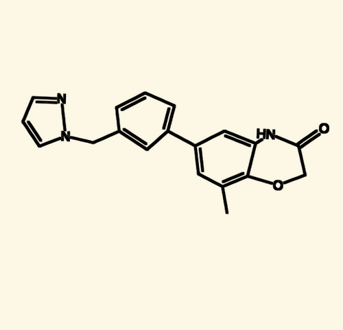 Cc1cc(-c2cccc(Cn3cccn3)c2)cc2c1OCC(=O)N2